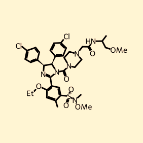 CCOc1cc(C)c(S(=O)(=O)N(C)OC)cc1C1=N[C@@H](c2ccc(Cl)cc2)[C@@H](c2ccc(Cl)cc2)N1C(=O)N1CCN(CC(=O)NC(C)COC)CC1